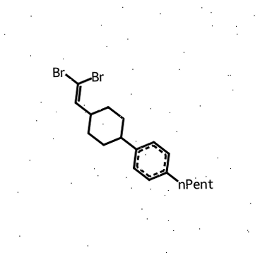 CCCCCc1ccc(C2CCC(C=C(Br)Br)CC2)cc1